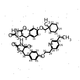 CC1(COc2ccc(CC3SC(=O)NC3=O)cc2)CCCCC1.CCc1ccc(CCOc2ccc(CC3SC(=O)NC3=O)cc2)nc1